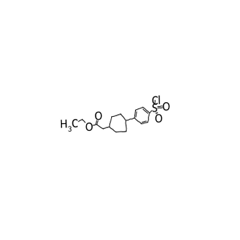 CCOC(=O)CC1CCC(c2ccc(S(=O)(=O)Cl)cc2)CC1